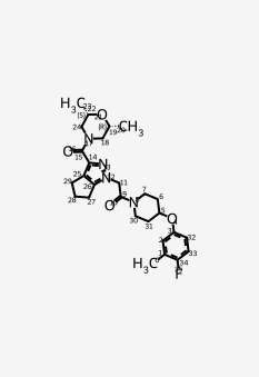 Cc1cc(OC2CCN(C(=O)Cn3nc(C(=O)N4C[C@@H](C)O[C@@H](C)C4)c4c3CCC4)CC2)ccc1F